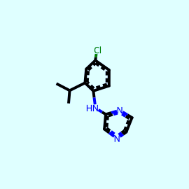 CC(C)c1cc(Cl)ccc1Nc1cnccn1